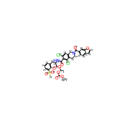 CC(C)OC(=O)OC(C)OC(=O)C(Cc1cccc(S(C)(=O)=O)c1)NC(=O)c1c(Cl)cc2c(c1Cl)CCN(C(=O)c1ccc3ccoc3c1)C2